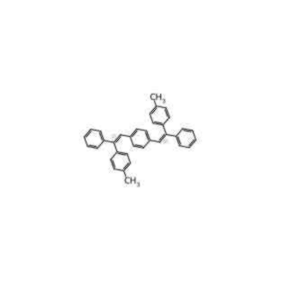 Cc1ccc(/C(=C\c2ccc(/C=C(/c3ccccc3)c3ccc(C)cc3)cc2)c2ccccc2)cc1